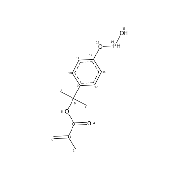 C=C(C)C(=O)OC(C)(C)c1ccc(OPO)cc1